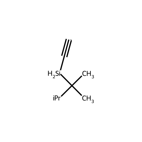 [C]#C[SiH2]C(C)(C)C(C)C